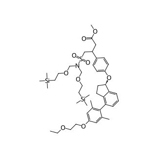 CCOCCOc1cc(C)c(-c2cccc3c2CC[C@H]3Oc2ccc(C(CC(=O)OC)CS(=O)(=O)N(COCC[Si](C)(C)C)COCC[Si](C)(C)C)cc2)c(C)c1